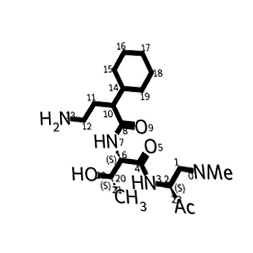 CNC[C@H](NC(=O)[C@@H](NC(=O)C(CCN)C1CCCCC1)[C@H](C)O)C(C)=O